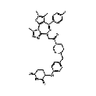 Cc1sc2c(c1C)C(c1ccc(Cl)cc1)=N[C@@H](CC(=O)N1CCN(Cc3ccc(NC4CCC(=O)NC4=O)cc3)CC1)c1nnc(C)n1-2